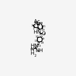 CC(=O)n1ccc2c(NC(=O)[C@H]3CC[C@H](CNC(=N)N)CC3)ccnc21